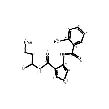 CCC(CCNC)NC(=O)c1n[nH]cc1NC(=O)c1ccccc1O